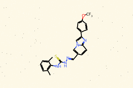 Cc1cccc(C)c1NC(=S)NN=Cc1ccc2nc(-c3ccc(OC(F)(F)F)cc3)cn2c1